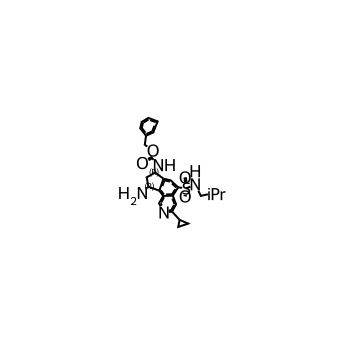 CC(C)CNS(=O)(=O)c1cc2c(c3cnc(C4CC4)cc13)[C@H](N)C[C@H]2NC(=O)OCc1ccccc1